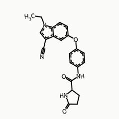 CCn1cc(C#N)c2cc(Oc3ccc(NC(=O)C4CCC(=O)N4)cc3)ccc21